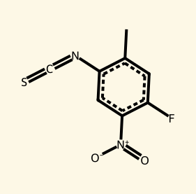 Cc1cc(F)c([N+](=O)[O-])cc1N=C=S